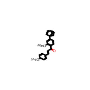 COc1ccc(C=CC(=O)c2ccc(C34C=CC(CC3)C4)cc2OC)cc1